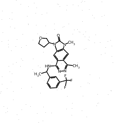 Cc1nnc(NC(C)c2cccc(C(F)(F)F)c2)c2cc3c(cc12)n(C)c(=O)n3C1CCOC1